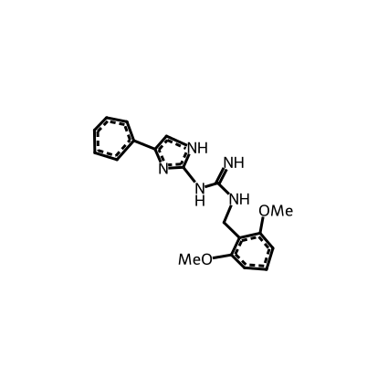 COc1cccc(OC)c1CNC(=N)Nc1nc(-c2ccccc2)c[nH]1